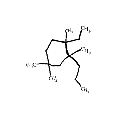 CCCC1(C)CC(C)(C)CCC1(C)CC